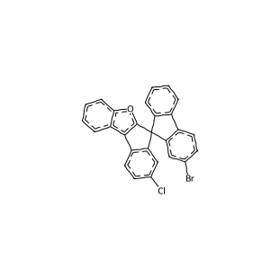 Clc1ccc2c(c1)C1(c3ccccc3-c3ccc(Br)cc31)c1oc3ccccc3c1-2